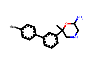 CC(C)(C)c1ccc(-c2cccc(C3(C)CNCC(N)O3)c2)cc1